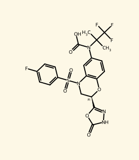 CC(C)(N(C(=O)O)c1ccc2c(c1)N(S(=O)(=O)c1ccc(F)cc1)C[C@H](c1n[nH]c(=O)o1)O2)C(F)(F)F